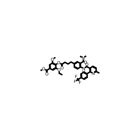 CCOc1cc(C(=O)OC)cc(OC)c1OC(=O)CCCc1ccc(NC(=O)c2ccc(C)nc2-c2ccc(C(F)(F)F)cc2)c(C(=O)N(C)C)c1